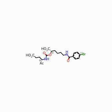 CC(=O)[C@H](CCC(=O)O)NC(=O)O[C@@H](CCCCNC(=O)c1ccc([77Br])cc1)C(=O)O